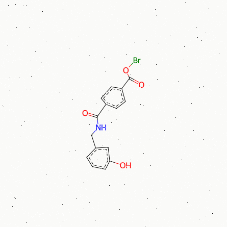 O=C(NCc1cccc(O)c1)c1ccc(C(=O)OBr)cc1